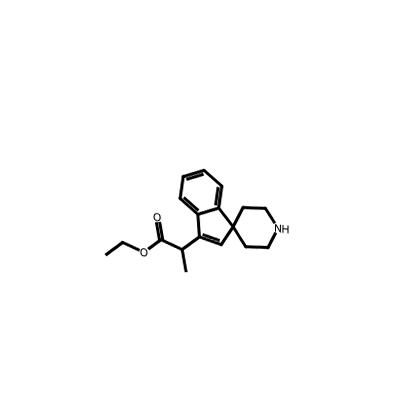 CCOC(=O)C(C)C1=CC2(CCNCC2)c2ccccc21